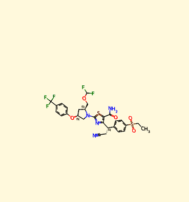 CCS(=O)(=O)c1ccc([C@H](CC#N)c2nc(N3C[C@@H](Oc4ccc(C(F)(F)F)cc4)C[C@H]3COC(F)F)sc2C(N)=O)cc1